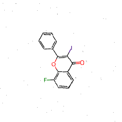 O=c1c(I)c(-c2ccccc2)oc2c(F)cccc12